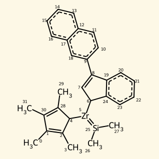 CC1=C(C)[CH]([Zr]([CH]2C=C(c3ccc4ccccc4c3)c3ccccc32)=[Si](C)C)C(C)=C1C